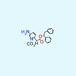 Nc1ccc(C(C(=O)O)C(=O)OC(Cc2ccccc2)c2ccccc2)nc1